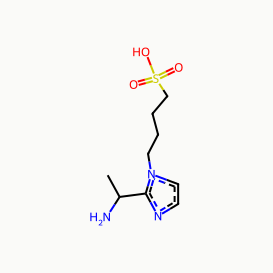 CC(N)c1nccn1CCCCS(=O)(=O)O